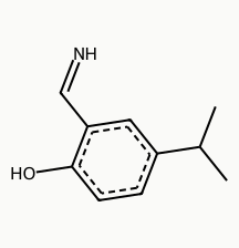 CC(C)c1ccc(O)c(C=N)c1